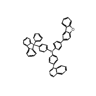 c1ccc(C2(c3ccc(N(c4ccc(-c5ccc6oc7ccccc7c6c5)cc4)c4ccc(-c5cccc6ccccc56)cc4)cc3)c3ccccc3-c3ccccc32)cc1